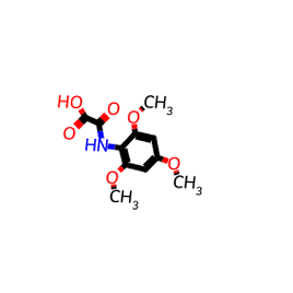 COc1cc(OC)c(NC(=O)C(=O)O)c(OC)c1